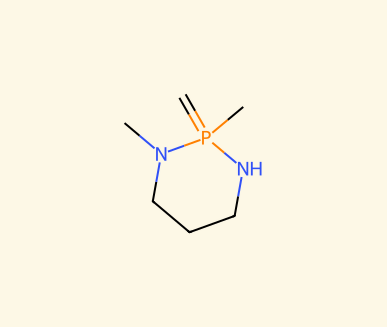 C=P1(C)NCCCN1C